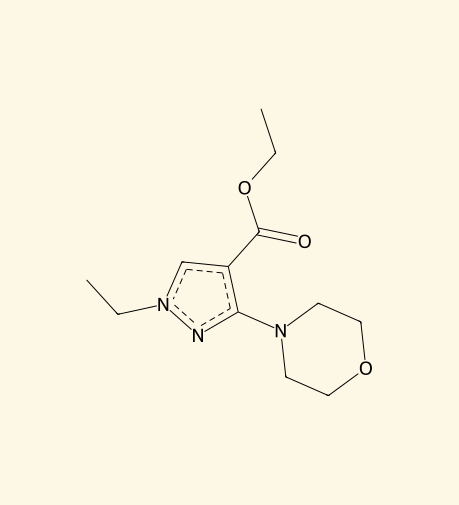 CCOC(=O)c1cn(CC)nc1N1CCOCC1